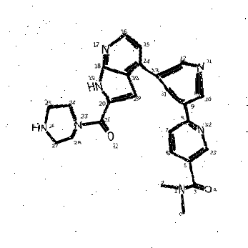 CN(C)C(=O)c1ccc(-c2cncc(-c3ccnc4[nH]c(C(=O)N5CCNCC5)cc34)c2)nc1